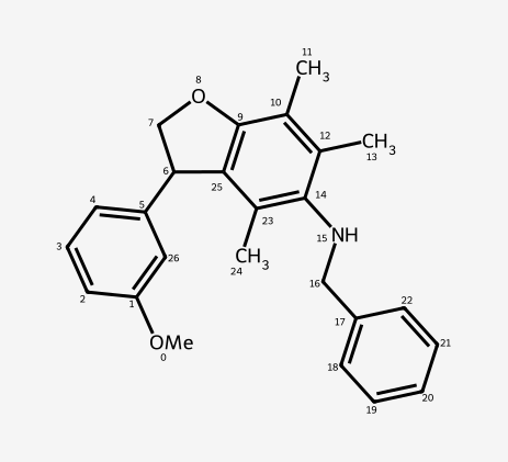 COc1cccc(C2COc3c(C)c(C)c(NCc4ccccc4)c(C)c32)c1